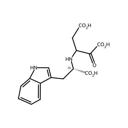 O=C(O)CC(N[C@@H](Cc1c[nH]c2ccccc12)C(=O)O)C(=O)C(=O)O